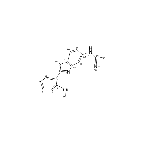 COc1ccccc1-c1nc2cc(NC(C)=N)ccc2s1